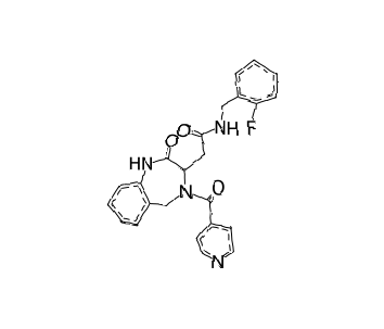 O=C(CC1C(=O)Nc2ccccc2CN1C(=O)c1ccncc1)NCc1ccccc1F